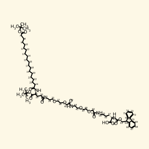 CC(C)(C)OC(=O)CCCCCCCCCCCCCCCCCCC(=O)NC(CCC(=O)NCCOCCOCC(=O)NCCOCCOCC(=O)NCCCC[C@H](NC(=O)OCC1c2ccccc2-c2ccccc21)C(=O)O)C(=O)OC(C)(C)C